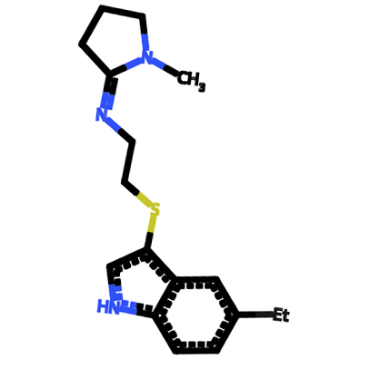 CCc1ccc2[nH]cc(SCCN=C3CCCN3C)c2c1